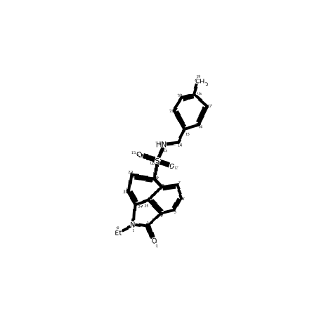 CCN1C(=O)c2cccc3c(S(=O)(=O)NCc4ccc(C)cc4)ccc1c23